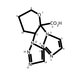 O=C(O)C1(n2ccnn2)OCCCC1n1ccnn1